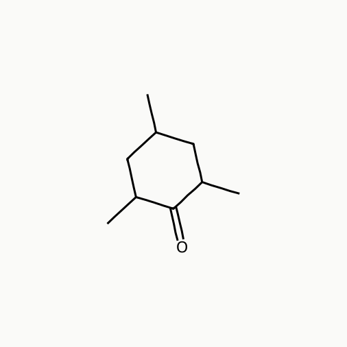 CC1CC(C)C(=O)C(C)C1